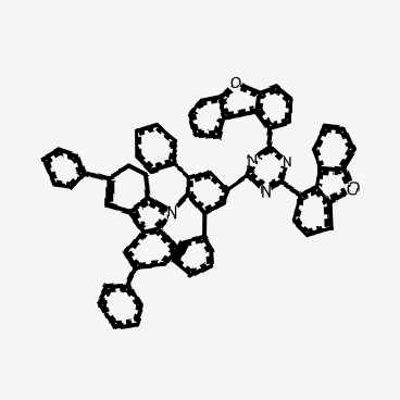 c1cccc(-c2cc(-c3nc(-c4cccc5oc6ccccc6c45)nc(-c4cccc5oc6ccccc6c45)n3)cc(-c3ccccc3)c2-n2c3c(c4cc(-c5ccccc5)ccc42)C=C(c2ccccc2)CC3)c#1